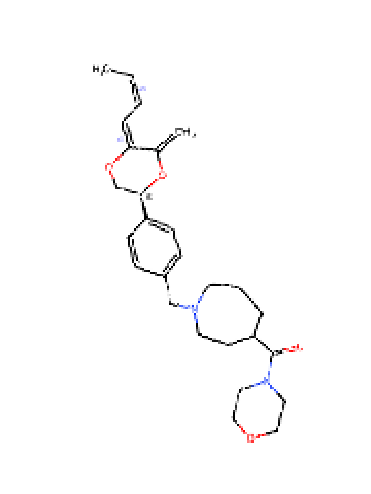 C=C1O[C@@H](c2ccc(CN3CCCC(C(=O)N4CCOCC4)CC3)cc2)CO/C1=C/C=C\C